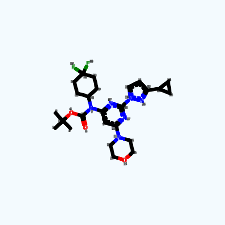 CC(C)(C)OC(=O)N(c1cc(N2CCOCC2)nc(-n2ccc(C3CC3)n2)n1)C1CCC(F)(F)CC1